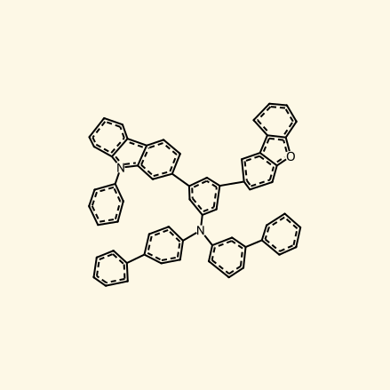 c1ccc(-c2ccc(N(c3cccc(-c4ccccc4)c3)c3cc(-c4ccc5oc6ccccc6c5c4)cc(-c4ccc5c6ccccc6n(-c6ccccc6)c5c4)c3)cc2)cc1